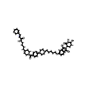 O=C(/C=C/c1cccnc1)NCCCCC1CCN(C(=O)c2ccc(N3CCN(CCCCCSc4ccc5c(c4)C(=O)N(C4CCC(=O)NC4=O)C5=O)CC3)nc2)CC1